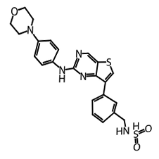 O=[SH](=O)NCc1cccc(-c2csc3cnc(Nc4ccc(N5CCOCC5)cc4)nc23)c1